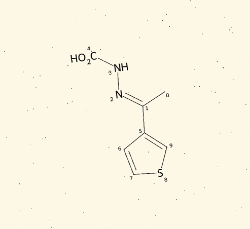 CC(=NNC(=O)O)c1ccsc1